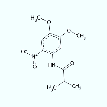 COc1cc(NC(=O)C(C)C)c([N+](=O)[O-])cc1OC